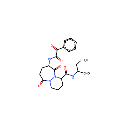 O=CC(CC(=O)O)NC(=O)C1CCCN2C(=O)CCC(NC(=O)C(=O)c3ccccc3)C(=O)N12